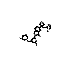 Cn1cnnc1CC1(c2ccc3c(c2)C(=O)N(c2cc(CN4CCC[C@H](O)C4)cc(C(F)(F)F)n2)C3)COC1